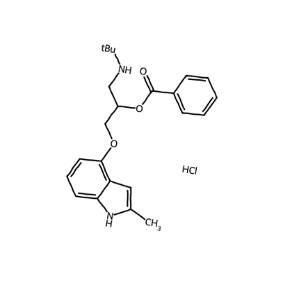 Cc1cc2c(OCC(CNC(C)(C)C)OC(=O)c3ccccc3)cccc2[nH]1.Cl